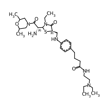 CCN(CC)CCNC(=O)CCCc1ccc(NC[C@H]2SC([C@H](N)C(=O)N3CC(C)OC(C)C3)N(CC)C2=O)cc1